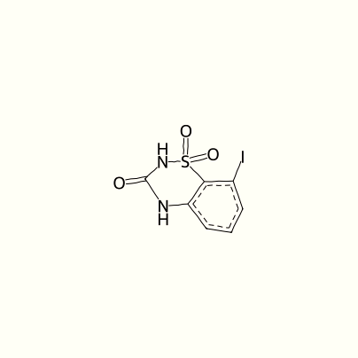 O=C1Nc2cccc(I)c2S(=O)(=O)N1